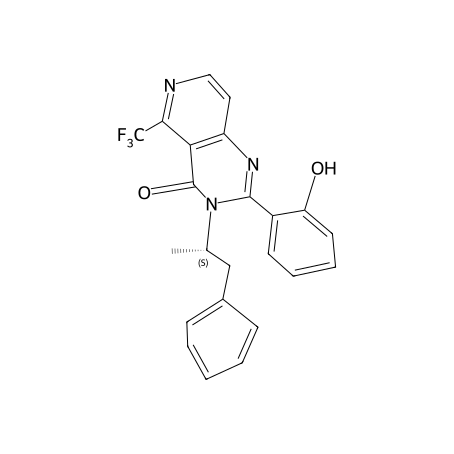 C[C@@H](Cc1ccccc1)n1c(-c2ccccc2O)nc2ccnc(C(F)(F)F)c2c1=O